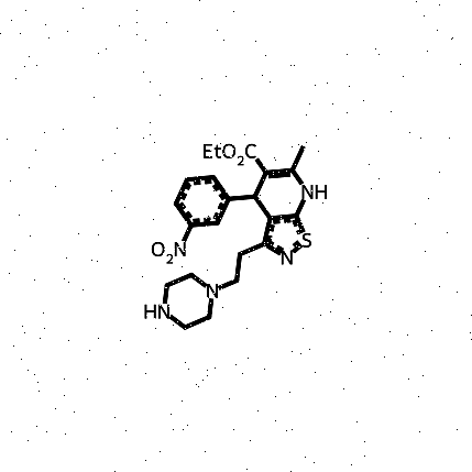 CCOC(=O)C1=C(C)Nc2snc(CCN3CCNCC3)c2C1c1cccc([N+](=O)[O-])c1